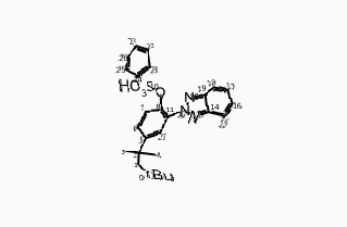 CC(C)(C)CC(C)(C)c1ccc(OS(=O)(=O)O)c(-n2nc3ccccc3n2)c1.c1ccccc1